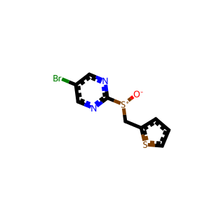 [O-][S+](Cc1cccs1)c1ncc(Br)cn1